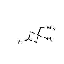 CC(C)C1CC(N)(CN)C1